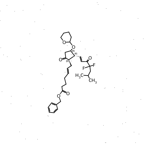 CC(C)CC(F)(F)C(=O)C=C[C@H]1[C@H](OC2CCCCO2)CC(=O)[C@@H]1CC=CCCCC(=O)OCc1ccccc1